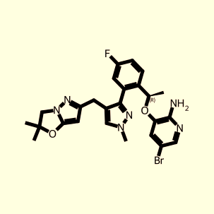 C[C@@H](Oc1cc(Br)cnc1N)c1ccc(F)cc1-c1nn(C)cc1Cc1cc2n(n1)CC(C)(C)O2